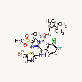 Cc1c(S(C)(=O)=O)nc(C(Nc2ncc(Br)s2)c2ccc(F)c(Cl)c2)n1COCC[Si](C)(C)C